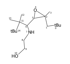 CC(C)(C)CC1(C)OC1C(NCCO)C(C)(C)C(C)(C)C